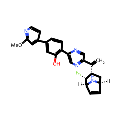 C=C(c1cnc(-c2ccc(-c3ccnc(OC)c3)cc2O)cn1)[C@@H]1C[C@H]2C=C[C@H](N2)[C@@H]1F